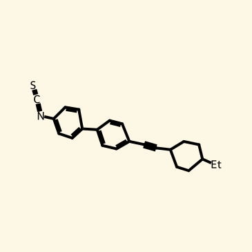 CCC1CCC(C#Cc2ccc(-c3ccc(N=C=S)cc3)cc2)CC1